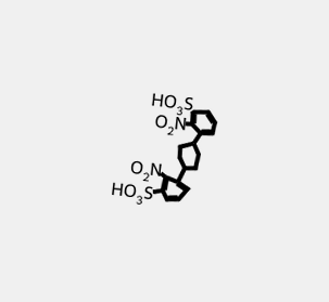 O=[N+]([O-])c1c(C2CCC(c3cccc(S(=O)(=O)O)c3[N+](=O)[O-])CC2)cccc1S(=O)(=O)O